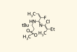 C\C=C(F)/C(=N\C(Cl)=C(/C)CC)N[C@H](CS(C)(=O)=O)C(C)(C)C